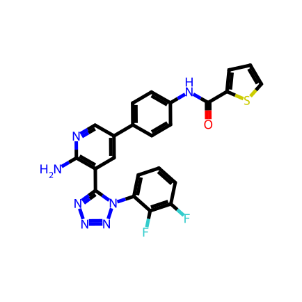 Nc1ncc(-c2ccc(NC(=O)c3cccs3)cc2)cc1-c1nnnn1-c1cccc(F)c1F